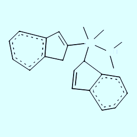 C[SiH](C)[Hf]([CH3])([CH3])([C]1=Cc2ccccc2C1)[CH]1C=Cc2ccccc21